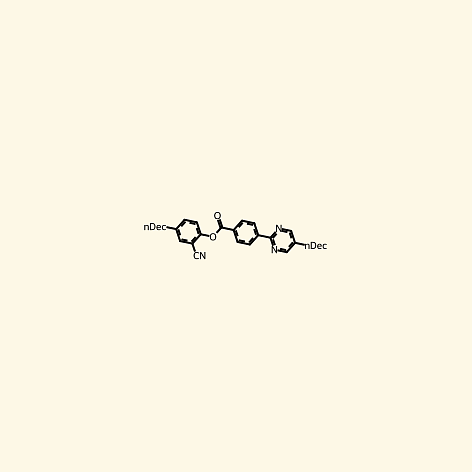 CCCCCCCCCCc1cnc(-c2ccc(C(=O)Oc3ccc(CCCCCCCCCC)cc3C#N)cc2)nc1